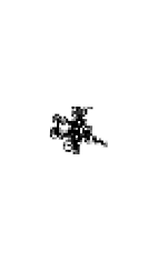 CCCCOC(=O)c1cc([N+](=O)[O-])cc2c1-c1ccc([N+](=O)[O-])cc1C21CCOC(=O)CC(=O)OCC1